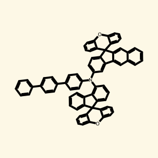 c1ccc(-c2ccc(-c3ccc(N(c4ccc5c(c4)-c4cc6ccccc6cc4C54c5ccccc5Oc5ccccc54)c4cccc5c4-c4ccccc4C54c5ccccc5Oc5ccccc54)cc3)cc2)cc1